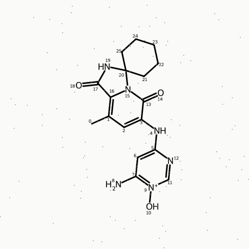 Cc1cc(Nc2cc(N)[n+](O)cn2)c(=O)n2c1C(=O)NC21CCCCC1